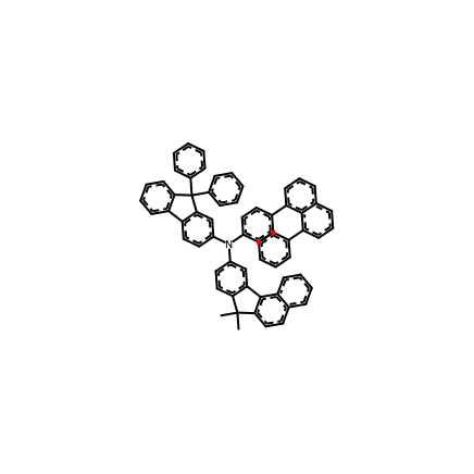 CC1(C)c2ccc(N(c3ccc(-c4cccc5cccc(-c6ccccc6)c45)cc3)c3ccc4c(c3)C(c3ccccc3)(c3ccccc3)c3ccccc3-4)cc2-c2c1ccc1ccccc21